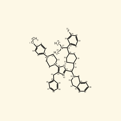 COc1ccc(N2CCN(c3oc(C(CC4CCC(C(c5cccc(F)c5)N(C)C)CC4)N4CCc5ccccc5C4)nc3Cc3ccccc3)CC2)cc1